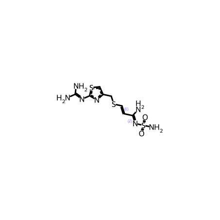 NC(N)=Nc1nc(CS/C=C/C(N)=N/S(N)(=O)=O)cs1